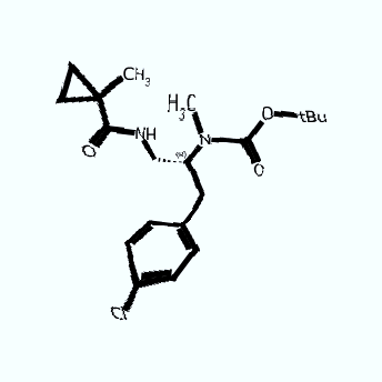 CN(C(=O)OC(C)(C)C)[C@@H](CNC(=O)C1(C)CC1)Cc1ccc(Cl)cc1